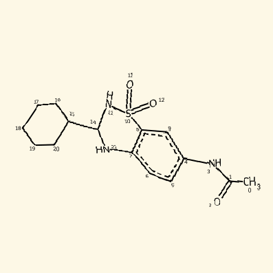 CC(=O)Nc1ccc2c(c1)S(=O)(=O)NC(C1CCCCC1)N2